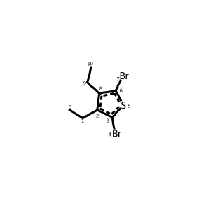 CCc1c(Br)sc(Br)c1CC